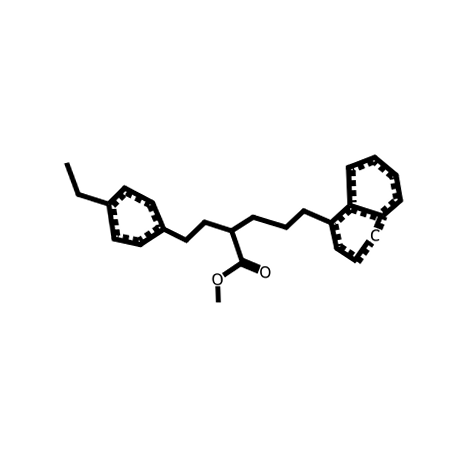 CCc1ccc(CCC(CCCc2cccc3ccccc23)C(=O)OC)cc1